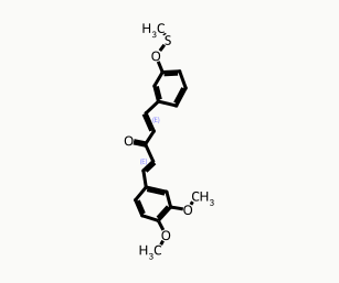 COc1ccc(/C=C/C(=O)/C=C/c2cccc(OSC)c2)cc1OC